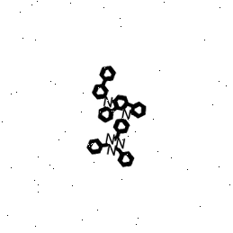 c1ccc(-c2cccc(-n3c4ccccc4c4c3ccc3c5ccccc5n(-c5ccc(-c6nc(-c7ccccc7)nc(-c7ccccc7)n6)cc5)c34)c2)cc1